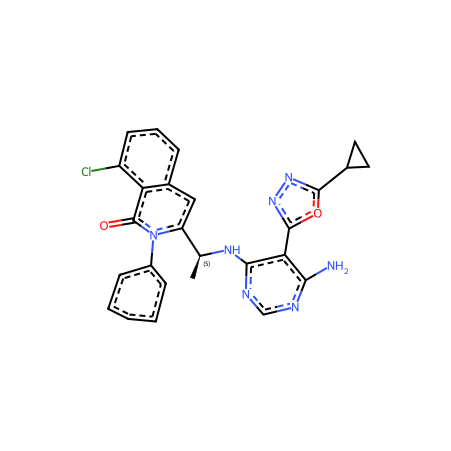 C[C@H](Nc1ncnc(N)c1-c1nnc(C2CC2)o1)c1cc2cccc(Cl)c2c(=O)n1-c1ccccc1